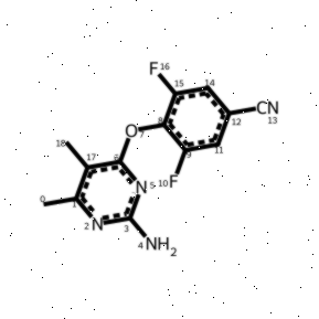 Cc1nc(N)nc(Oc2c(F)cc(C#N)cc2F)c1C